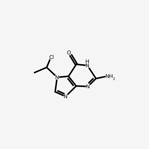 CC(Cl)n1cnc2nc(N)[nH]c(=O)c21